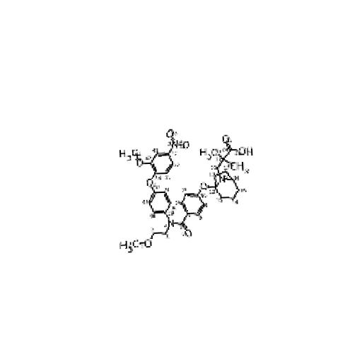 COCCN(C(=O)c1ccc(OC23CCCC(CC2)N3CC(C)(C)C(=O)O)cc1)c1ccc(Oc2ccc([N+](=O)[O-])cc2OC)cc1